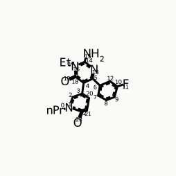 CCCn1cc(-c2c(-c3cccc(F)c3)nc(N)n(CC)c2=O)ccc1=O